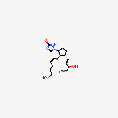 CCCCC[C@H](O)/C=C/[C@H]1CCC(n2cnc(=O)[nH]2)[C@@H]1C/C=C\CCCC(=O)O